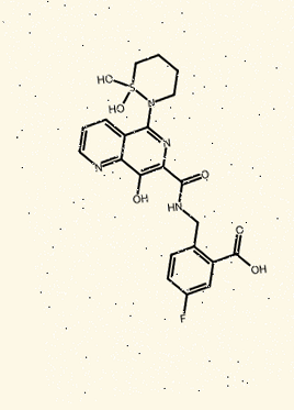 O=C(O)c1cc(F)ccc1CNC(=O)c1nc(N2CCCCS2(O)O)c2cccnc2c1O